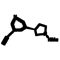 C#Cc1cncc([C@H]2CCN(NC)C2)c1